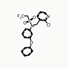 O=S(=O)(CC(F)(F)F)N(Cc1cccnc1Cl)c1cccc(Oc2ccccc2)c1